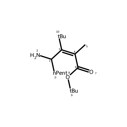 CCCCCC(N)C(=C(C)C(=O)OC(C)(C)C)C(C)(C)C